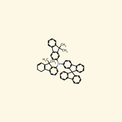 CC1(C)C2=C(CCC=C2)c2cccc(N(c3ccc4c(c3)C(C)(C)c3ccccc3-4)c3ccc4c(c3)C3(c5ccccc5-c5ccccc53)c3ccccc3-4)c21